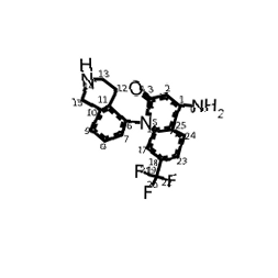 Nc1cc(=O)n(-c2cccc3c2CCNC3)c2cc(C(F)(F)F)ccc12